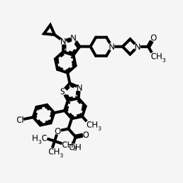 CC(=O)N1CC(N2CCC(c3nn(C4CC4)c4ccc(-c5nc6cc(C)c(C(OC(C)(C)C)C(=O)O)c(-c7ccc(Cl)cc7)c6s5)cc34)CC2)C1